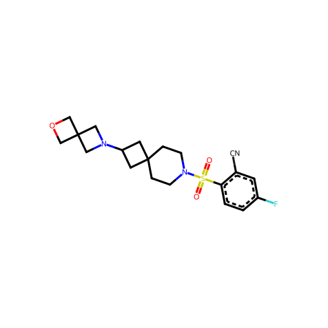 N#Cc1cc(F)ccc1S(=O)(=O)N1CCC2(CC1)CC(N1CC3(COC3)C1)C2